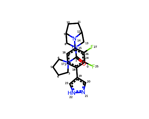 O=C(N1CCCC1)N1CC2CCC(C1)N2c1ccc(-c2cn[nH]c2)c(F)c1F